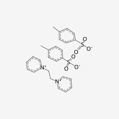 Cc1ccc(S(=O)(=O)[O-])cc1.Cc1ccc(S(=O)(=O)[O-])cc1.c1cc[n+](CC[n+]2ccccc2)cc1